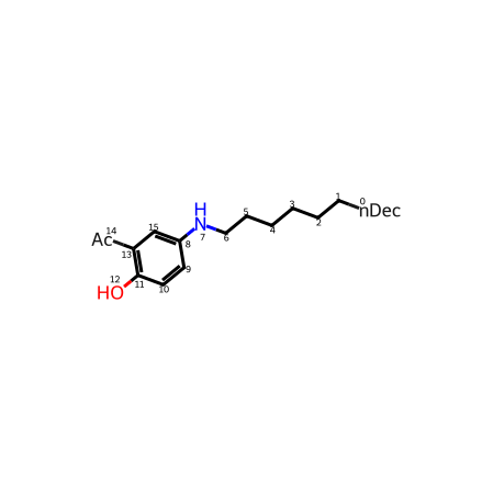 CCCCCCCCCCCCCCCCNc1ccc(O)c(C(C)=O)c1